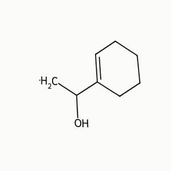 [CH2]C(O)C1=CCCCC1